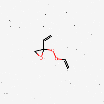 C=COOC1(C=C)CO1